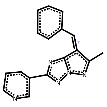 Cc1nn2nc(-c3cccnc3)nc2/c1=C\c1ccccc1